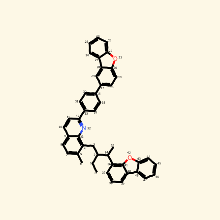 CCC(Cc1c(C)ccc2ccc(-c3ccc(-c4ccc5oc6ccccc6c5c4)cc3)nc12)C(C)c1cccc2c1oc1ccccc12